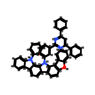 c1ccc(-c2cc(-c3ccccc3)nc(-c3cccc(-n4c5c(ccc6oc7ccccc7c65)c5ccc6c7ccccc7n(-c7ccccc7)c6c54)c3)n2)cc1